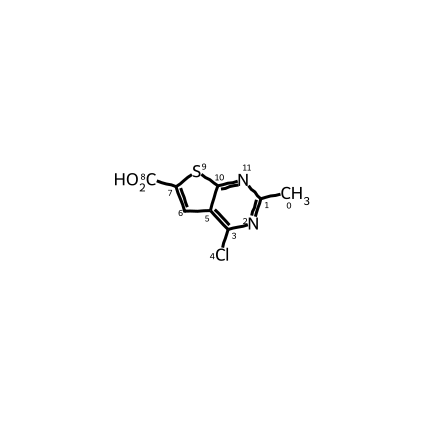 Cc1nc(Cl)c2cc(C(=O)O)sc2n1